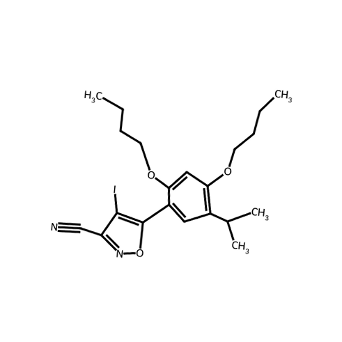 CCCCOc1cc(OCCCC)c(C(C)C)cc1-c1onc(C#N)c1I